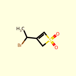 CC(Br)C1=CS(=O)(=O)C1